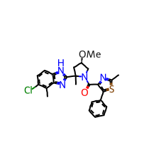 CO[C@H]1CN(C(=O)c2nc(C)sc2-c2ccccc2)C(C)(c2nc3c(C)c(Cl)ccc3[nH]2)C1